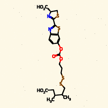 CC(CSSCCCOC(=O)Oc1ccc2nc(C3=N[C@@H](C(=O)O)CS3)sc2c1)C(C)CC(=O)O